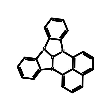 c1ccc2c(c1)N1B3N2c2cccc4cccc(c24)N3c2ccccc21